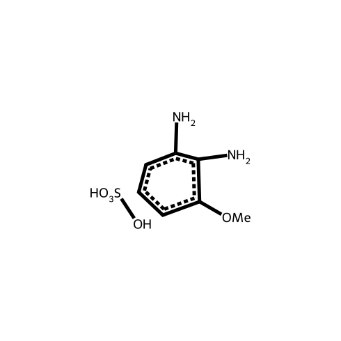 COc1cccc(N)c1N.O=S(=O)(O)O